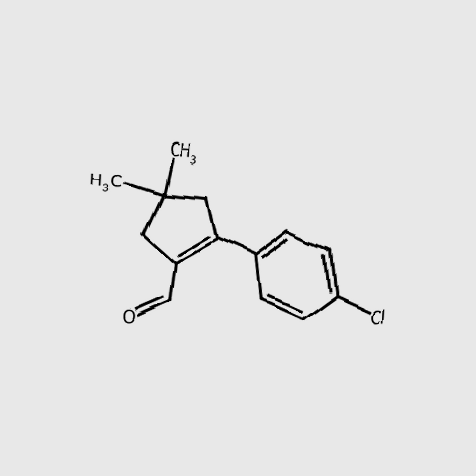 CC1(C)CC(C=O)=C(c2ccc(Cl)cc2)C1